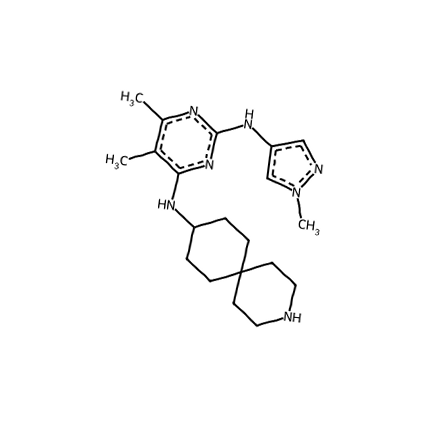 Cc1nc(Nc2cnn(C)c2)nc(NC2CCC3(CCNCC3)CC2)c1C